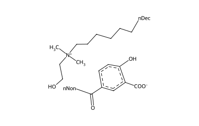 CCCCCCCCCC(=O)c1ccc(O)c(C(=O)[O-])c1.CCCCCCCCCCCCCCCC[N+](C)(C)CCO